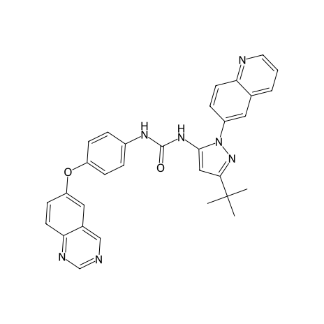 CC(C)(C)c1cc(NC(=O)Nc2ccc(Oc3ccc4ncncc4c3)cc2)n(-c2ccc3ncccc3c2)n1